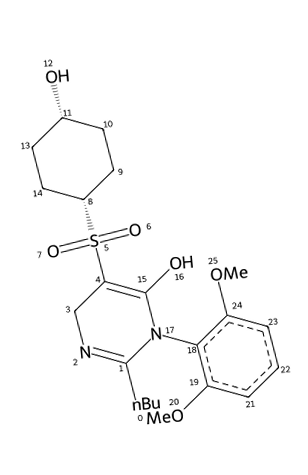 CCCCC1=NCC(S(=O)(=O)[C@H]2CC[C@@H](O)CC2)=C(O)N1c1c(OC)cccc1OC